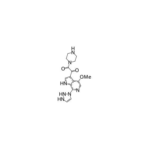 COc1cnc(N2C=CNN2)c2[nH]cc(C(=O)C(=O)N3CCNCC3)c12